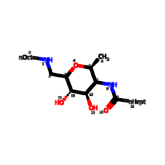 CCCCCCCCNCC1O[C@@H](C)C(NC(=O)CCCCCCC)[C@@H](O)[C@@H]1O